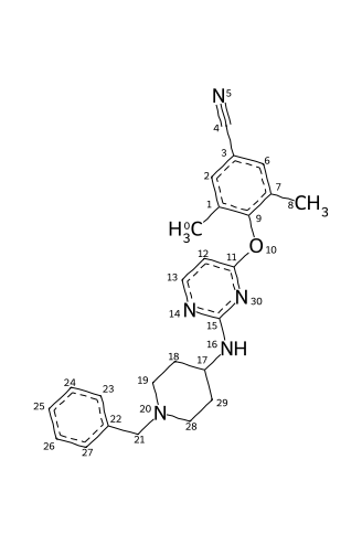 Cc1cc(C#N)cc(C)c1Oc1ccnc(NC2CCN(Cc3ccccc3)CC2)n1